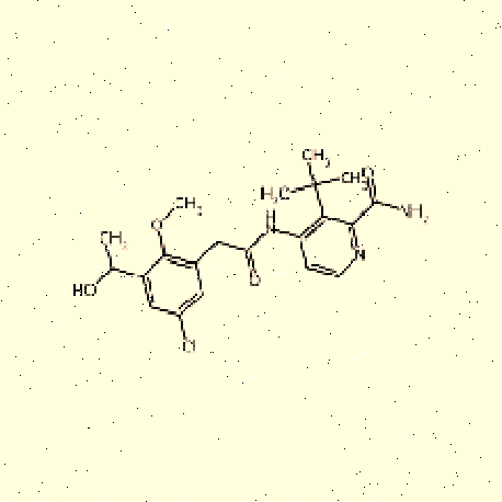 COc1c(CC(=O)Nc2ccnc(C(N)=O)c2C(C)(C)C)cc(Cl)cc1C(C)O